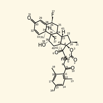 CCCCC(=O)O[C@]1(C(=O)SCC(=O)c2c(C)cc(C)cc2C)[C@H](C)C[C@H]2[C@@H]3C[C@H](F)C4=CC(=O)C=C[C@]4(C)[C@@]3(F)[C@@H](O)C[C@@]21C